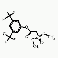 COP(=O)(CC(=O)Oc1cc(C(F)(F)F)cc(C(F)(F)F)c1)OC